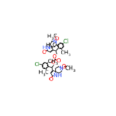 CON1CCC2(CC1)NC(=O)C=C2C(COC(=O)OCC(C1=CC(=O)NC12CCN(OC)CC2)c1c(C)cc(Cl)cc1C)c1c(C)cc(Cl)cc1C